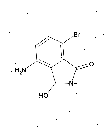 Nc1ccc(Br)c2c1C(O)NC2=O